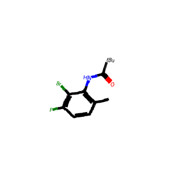 Cc1ccc(F)c(Br)c1NC(=O)C(C)(C)C